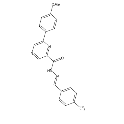 COc1ccc(-c2cncc(C(=O)NN=Cc3ccc(C(F)(F)F)cc3)n2)cc1